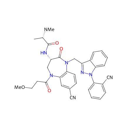 CN[C@@H](C)C(=O)N[C@H]1CN(C(=O)CCOC)c2cc(C#N)ccc2N(Cc2nn(-c3ccccc3C#N)c3ccccc23)C1=O